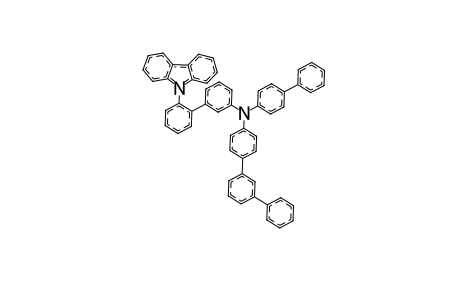 c1ccc(-c2ccc(N(c3ccc(-c4cccc(-c5ccccc5)c4)cc3)c3cccc(-c4ccccc4-n4c5ccccc5c5ccccc54)c3)cc2)cc1